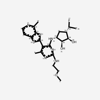 COCCNc1nc(C)c(-c2nc3c(C)nccc3s2)c(N[C@@H]2C[C@H](C(F)F)[C@@H](O)[C@H]2O)n1